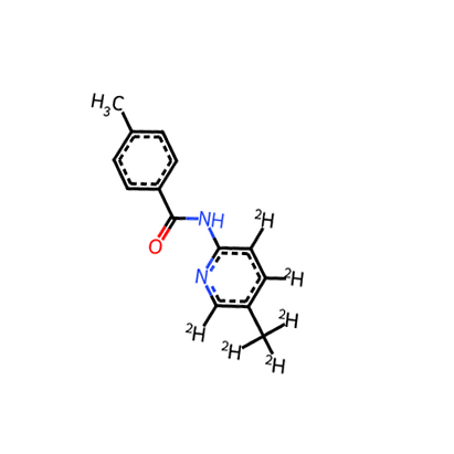 [2H]c1nc(NC(=O)c2ccc(C)cc2)c([2H])c([2H])c1C([2H])([2H])[2H]